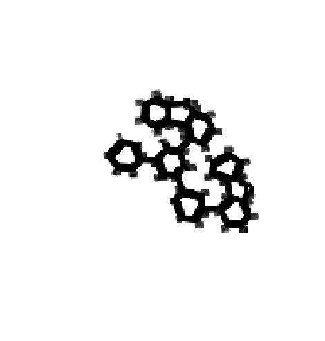 c1ccc(-c2nc(-c3cccc(-c4cccc5oc6ccccc6c45)c3)nc(-c3cccc4sc5ccccc5c34)n2)cc1